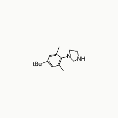 Cc1cc(C(C)(C)C)cc(C)c1N1CCNC1